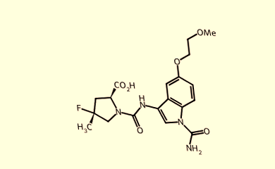 COCCOc1ccc2c(c1)c(NC(=O)N1C[C@](C)(F)C[C@H]1C(=O)O)cn2C(N)=O